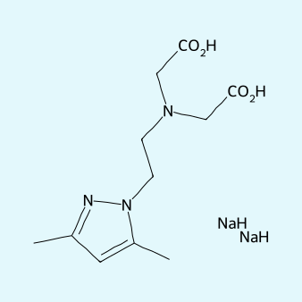 Cc1cc(C)n(CCN(CC(=O)O)CC(=O)O)n1.[NaH].[NaH]